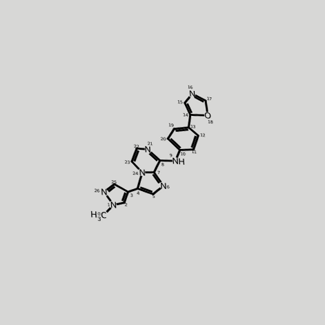 Cn1cc(-c2cnc3c(Nc4ccc(-c5cnco5)cc4)nccn23)cn1